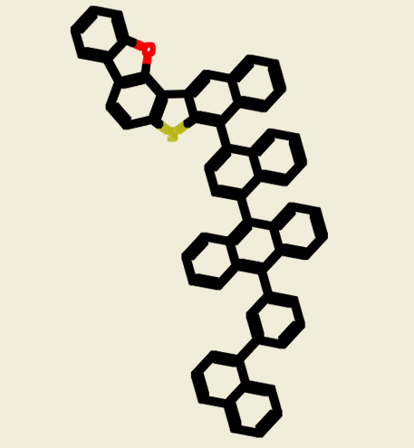 c1cc(-c2cccc3ccccc23)cc(-c2c3ccccc3c(-c3ccc(-c4c5ccccc5cc5c4sc4ccc6c7ccccc7oc6c45)c4ccccc34)c3ccccc23)c1